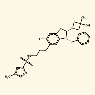 Cn1cnc(S(=O)(=O)NCCOc2cc3c(cc2F)C[C@H](N2CC(C)(O)C2)[C@@H]3Cc2ccccc2)c1